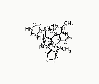 CSc1ncccc1-c1nc2c(cc1F)c(N1CCNC[C@@H]1C)nc(=O)n2-c1c(C)ccnc1C(C)C